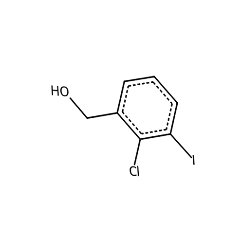 OCc1cccc(I)c1Cl